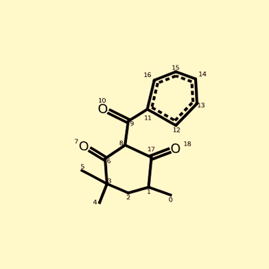 CC1CC(C)(C)C(=O)C(C(=O)c2ccccc2)C1=O